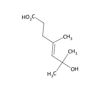 C/C(=C\C(C)(C)O)CCC(=O)O